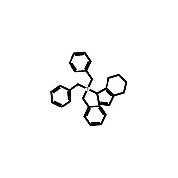 C1=C[CH]([Ti]([CH2]c2ccccc2)([CH2]c2ccccc2)[CH2]c2ccccc2)C2=C1CCCC2